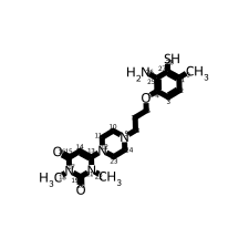 Cc1ccc(OCCCN2CCN(c3cc(=O)n(C)c(=O)n3C)CC2)c(N)c1S